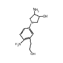 Nc1ccc(N2CC(N)C(O)C2)cc1CCO